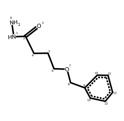 NNC(=O)CCCOCc1ccccc1